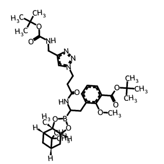 COc1c(CC(NC(=O)CCn2cc(CNC(=O)OC(C)(C)C)nn2)B2O[C@@H]3C[C@@H]4C[C@@H](C4(C)C)[C@]3(C)O2)cccc1C(=O)OC(C)(C)C